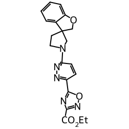 CCOC(=O)c1noc(-c2ccc(N3CCC4(COc5ccccc54)C3)nn2)n1